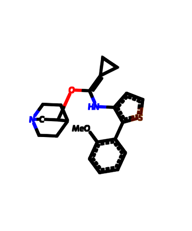 COc1ccccc1-c1sccc1NC(OC1CN2CCC1CC2)=C1CC1